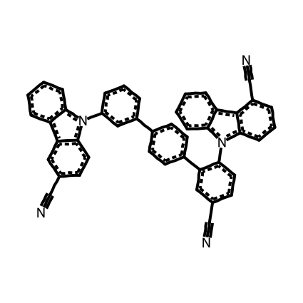 N#Cc1ccc(-n2c3ccccc3c3c(C#N)cccc32)c(-c2ccc(-c3cccc(-n4c5ccccc5c5cc(C#N)ccc54)c3)cc2)c1